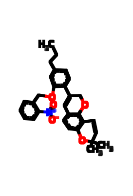 CCCc1ccc(C2=Cc3ccc4c(c3OC2)C=CC(C)(C)O4)c(OCc2ccccc2[N+](=O)[O-])c1